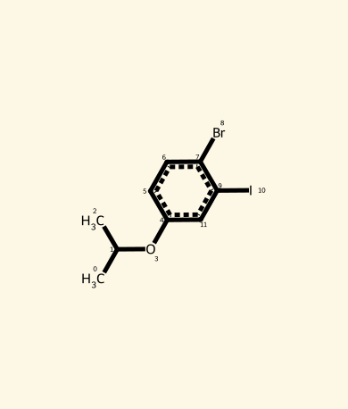 CC(C)Oc1ccc(Br)c(I)c1